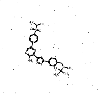 CC(C)S(=O)(=O)c1ccc(-c2cnc(N)c(-c3cc(-c4ccc(CN(C)C(C)(C)C)cc4)no3)n2)cc1